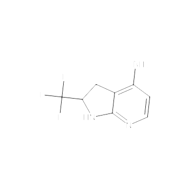 Bc1ccnc2c1CC(C(F)(F)F)N2